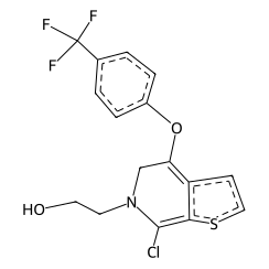 OCCN1CC(Oc2ccc(C(F)(F)F)cc2)=c2ccsc2=C1Cl